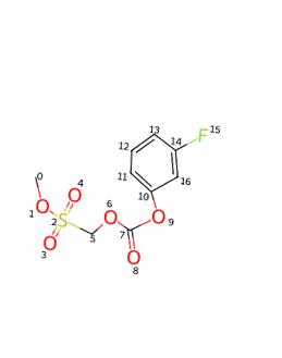 COS(=O)(=O)COC(=O)Oc1cccc(F)c1